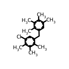 Cc1cc(Cc2cc(Cl)c(C)c(C)c2C)c(C)c(C)c1C